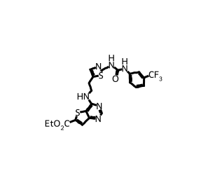 CCOC(=O)c1cc2ncnc(NCCc3cnc(NC(=O)Nc4cccc(C(F)(F)F)c4)s3)c2s1